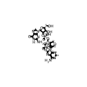 Nc1nc2c(ncn2[C@@H]2O[C@H](CO)C(O)C2OP(=O)(O)OC[C@]23COC(C2O[PH](=O)O)[C@H](n2cnc4c(N)ncnc42)O3)c(=O)[nH]1